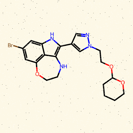 Brc1cc2c3c(c(-c4cnn(CCOC5CCCCO5)c4)[nH]c3c1)NCCO2